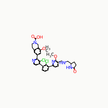 COc1cc(-c2nccc(-c3cccc(-c4ccc(CNCC5CCC(=O)N5)c(OC)n4)c3Cl)c2Cl)cc2c1CN(C(=O)O)CC2